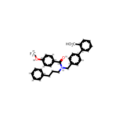 O=C(O)c1ccccc1-c1ccc(CN(CCCc2ccccc2)C(=O)c2ccc(OC(F)(F)F)cc2)cc1